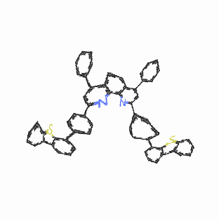 c1ccc(-c2cc(-c3ccc(-c4cccc5c4sc4ccccc45)cc3)nc3c2ccc2c(-c4ccccc4)cc(-c4ccc(-c5cccc6c5sc5ccccc56)cc4)nc23)cc1